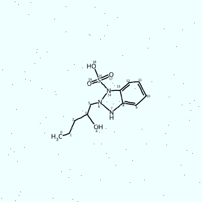 CCCC(O)CN1Nc2ccccc2N1S(=O)(=O)O